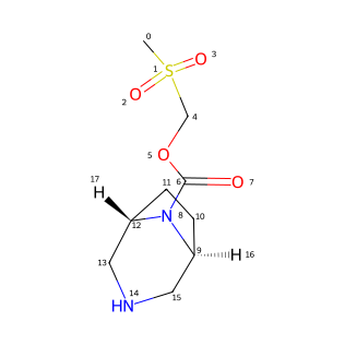 CS(=O)(=O)COC(=O)N1[C@H]2CC[C@H]1CNC2